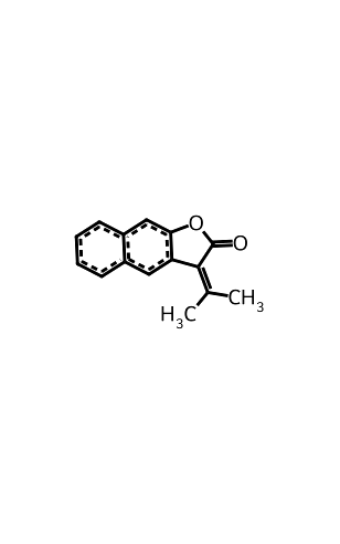 CC(C)=C1C(=O)Oc2cc3ccccc3cc21